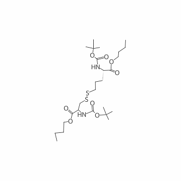 CCCCOC(=O)C(CSSCCC[C@H](NC(=O)OC(C)(C)C)C(=O)OCCCC)NC(=O)OC(C)(C)C